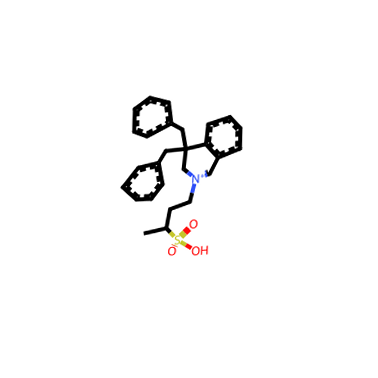 CC(CC[N+]1=Cc2ccccc2C(Cc2ccccc2)(Cc2ccccc2)C1)S(=O)(=O)O